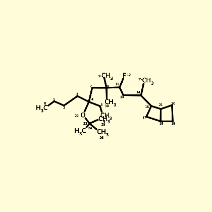 CCCCC(CC)(CC(C)(C)C(F)CC(C)C1CC2CCC21)OC(C)(C)C